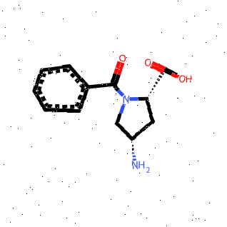 N[C@H]1C[C@@H](C(=O)O)N(C(=O)c2ccccc2)C1